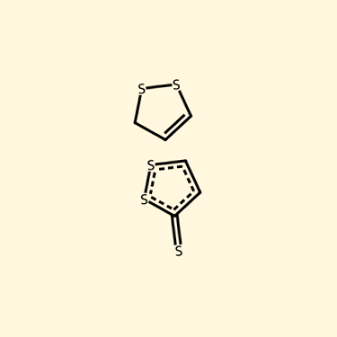 C1=CSSC1.S=c1ccss1